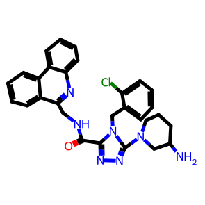 NC1CCCN(c2nnc(C(=O)NCc3nc4ccccc4c4ccccc34)n2Cc2ccccc2Cl)C1